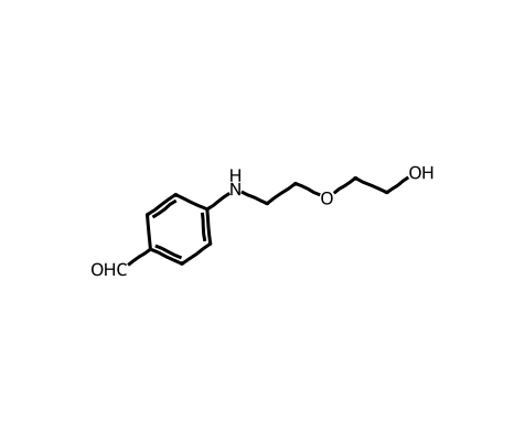 O=Cc1ccc(NCCOCCO)cc1